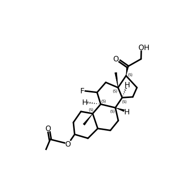 CC(=O)OC1CC[C@@]2(C)C(CC[C@H]3[C@@H]4CC[C@H](C(=O)CO)[C@@]4(C)CC(F)[C@@H]32)C1